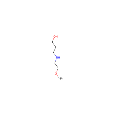 CCCOCCNCCCO